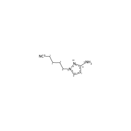 N#CCCCCn1ccc(N)n1